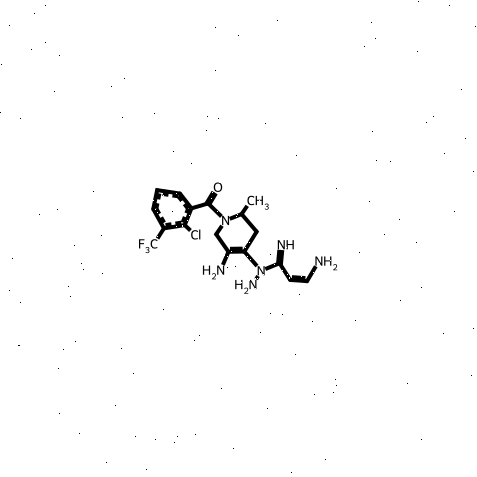 CC1CC(N(N)C(=N)/C=C\N)=C(N)CN1C(=O)c1cccc(C(F)(F)F)c1Cl